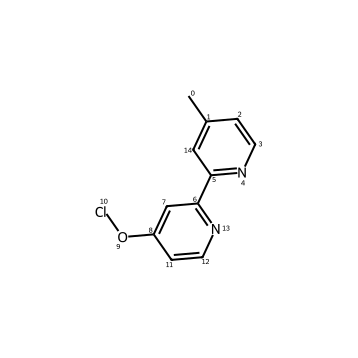 Cc1ccnc(-c2cc(OCl)ccn2)c1